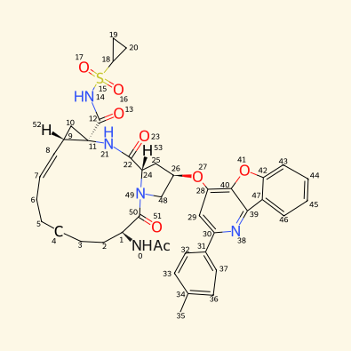 CC(=O)N[C@H]1CCCCC/C=C\[C@@H]2C[C@@]2(C(=O)NS(=O)(=O)C2CC2)NC(=O)[C@@H]2C[C@@H](Oc3cc(-c4ccc(C)cc4)nc4c3oc3ccccc34)CN2C1=O